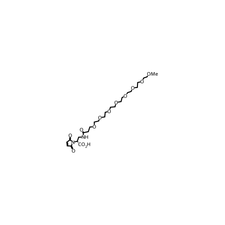 COCCOCCOCCOCCOCCOCCOCCOCCC(=O)NC[C@@H](C(=O)O)N1C(=O)C=CC1=O